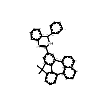 CC1(C)c2cccc3c2-c2c(cc(C4=Nc5ccccc5C(c5ccccc5)N4)cc21)-c1cccc2cccc-3c12